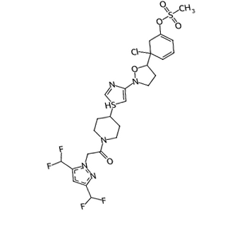 CS(=O)(=O)OC1=CC=CC(Cl)(C2CCN(C3=C[SH](C4CCN(C(=O)Cn5nc(C(F)F)cc5C(F)F)CC4)C=N3)O2)C1